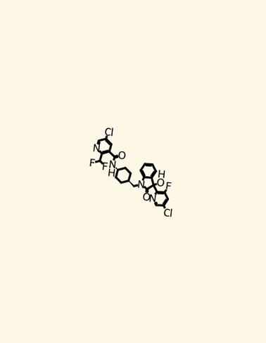 O=C(N[C@H]1CC[C@H](CN2C(=O)C(O)(c3ncc(Cl)cc3F)c3ccccc32)CC1)c1cc(Cl)cnc1C(F)F